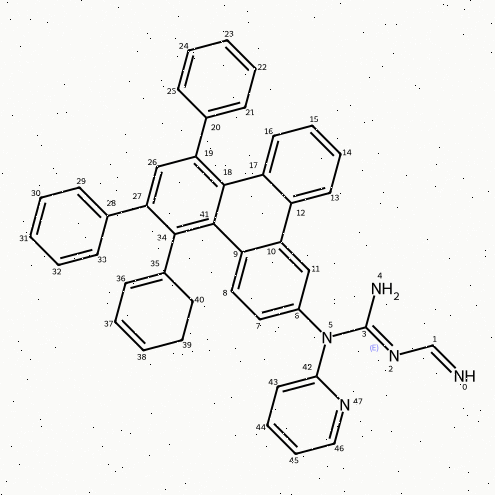 N=C/N=C(\N)N(c1ccc2c(c1)c1ccccc1c1c(-c3ccccc3)cc(-c3ccccc3)c(C3=CC=CCC3)c21)c1ccccn1